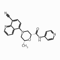 C[C@@H]1CN(c2ccc(C#N)c3ncccc23)C[C@H](C(=O)Nc2ccncc2)O1